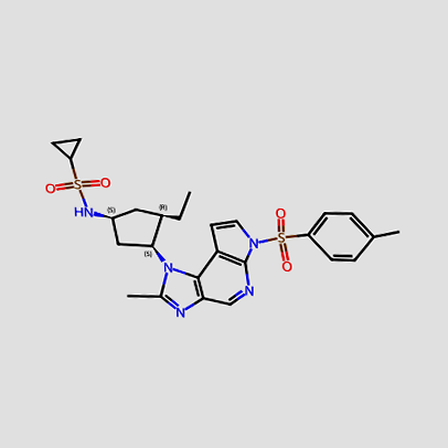 CC[C@@H]1C[C@H](NS(=O)(=O)C2CC2)C[C@@H]1n1c(C)nc2cnc3c(ccn3S(=O)(=O)c3ccc(C)cc3)c21